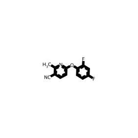 Cc1nc(Oc2ccc(F)cc2F)ccc1C#N